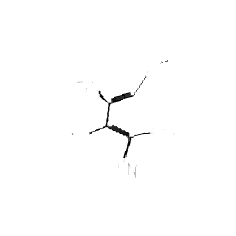 C/C(=C\O)C(C#N)=C(C#N)C#N